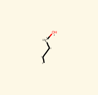 CCC[13CH2]O